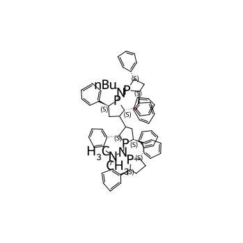 CCCCN(P1[C@H](c2ccccc2)C(C2C[C@@H](c3ccccc3)P(N(N(C)C)P3[C@H](c4ccccc4)CC[C@H]3c3ccccc3)[C@@H]2c2ccccc2)C[C@H]1c1ccccc1)P1[C@H](c2ccccc2)C[C@H]1c1ccccc1